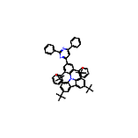 CC(C)(C)c1cc(C(C)(C)C)c2c(c1)c1cc(C(C)(C)C)cc(C(C)(C)C)c1n2-c1c(-c2ccccc2)cc(-c2cc(-c3ccccc3)nc(-c3ccccc3)n2)cc1-c1ccccc1